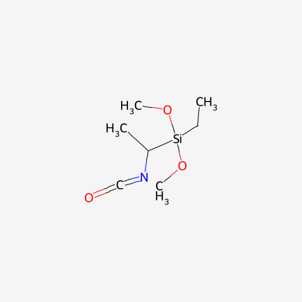 CC[Si](OC)(OC)C(C)N=C=O